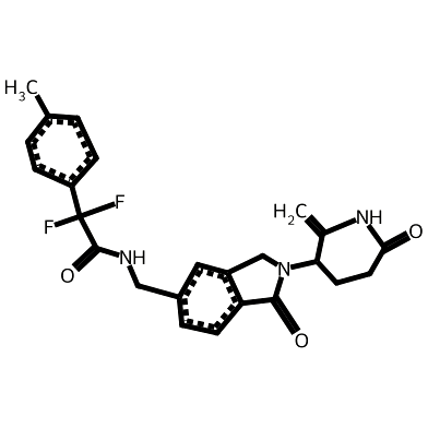 C=C1NC(=O)CCC1N1Cc2cc(CNC(=O)C(F)(F)c3ccc(C)cc3)ccc2C1=O